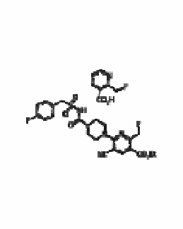 CCOC(=O)c1cc(C#N)c(N2CCC(C(=O)NS(=O)(=O)Cc3ccc(F)cc3)CC2)nc1CF.O=C(O)c1cccnc1CF